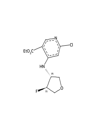 CCOC(=O)c1cnc(Cl)cc1N[C@@H]1COC[C@H]1F